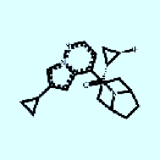 O=C([C@@H]1C[C@H]1F)N1C2CCC1CN(c1ccnn3cc(C4CC4)cc13)C2